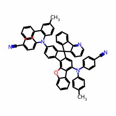 Cc1ccc(N(c2ccc(C#N)cc2)c2cc3c(c4oc5ccccc5c24)-c2ccc(N(c4ccc(C#N)cc4)c4ccc(C)cc4-c4ccccc4)cc2C32c3ccccc3-c3ncccc32)cc1